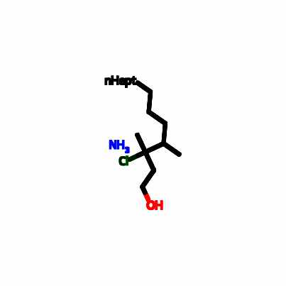 CCCCCCCCCCC(C)C(C)(Cl)CCO.N